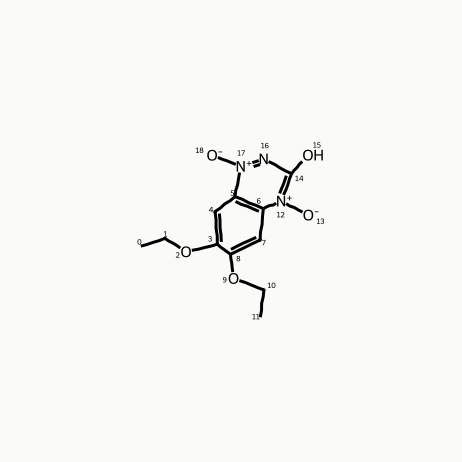 CCOc1cc2c(cc1OCC)[n+]([O-])c(O)n[n+]2[O-]